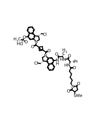 CSC1CC(=O)N(CCCCCC(=O)N[C@H](C(=O)N[C@@H](C)C(=O)Nc2cc3c(c4ccccc24)[C@H](CCl)CN3C(=O)C23CC(C(=O)N4C[C@@H](CCl)c5c4cc(OP(C)(=O)O)c4ccccc54)(C2)C3)C(C)C)C1=O